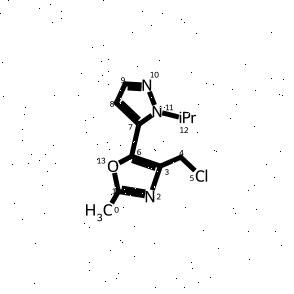 Cc1nc(CCl)c(-c2ccnn2C(C)C)o1